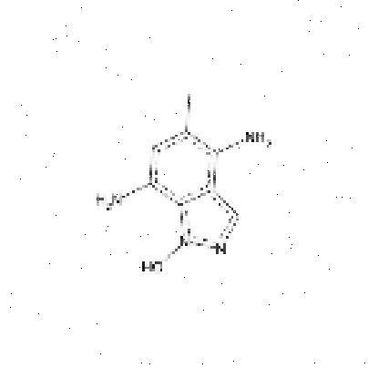 Cc1cc(N)c2c(cnn2O)c1N